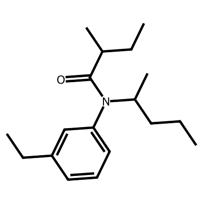 CCCC(C)N(C(=O)C(C)CC)c1cccc(CC)c1